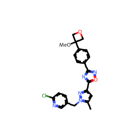 COC1(c2ccc(-c3noc(-c4cc(C)n(Cc5ccc(Cl)nc5)n4)n3)cc2)COC1